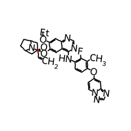 C=CC(=O)N1C2CCC1CC(Oc1cc3c(Nc4ccc(Oc5ccn6ncnc6c5)c(C)c4F)ncnc3cc1OCC)C2